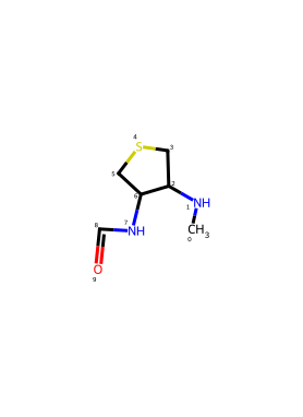 CNC1CSCC1NC=O